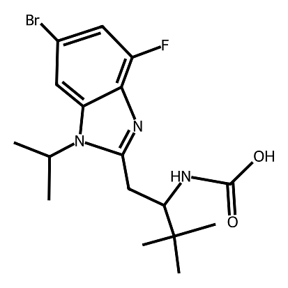 CC(C)n1c(CC(NC(=O)O)C(C)(C)C)nc2c(F)cc(Br)cc21